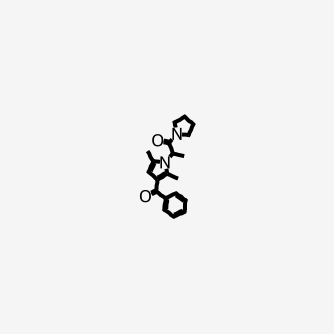 Cc1cc(C(=O)c2ccccc2)c(C)n1C(C)C(=O)N1CCCC1